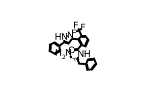 NC[C@@H](Cc1ccccc1)NC(=O)c1cccc(C(F)(F)F)c1-c1cc(-c2ccccc2)[nH]n1